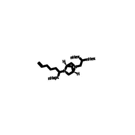 C=CCCCC(CCCCCCC)N1C[C@H]2C[C@@H]1CN2CC(CCCCCC)CCCCCC